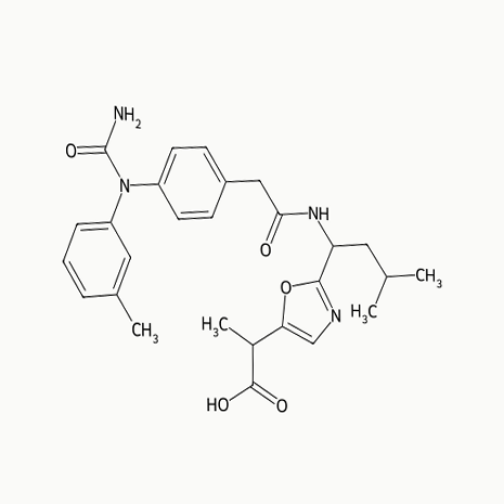 Cc1cccc(N(C(N)=O)c2ccc(CC(=O)NC(CC(C)C)c3ncc(C(C)C(=O)O)o3)cc2)c1